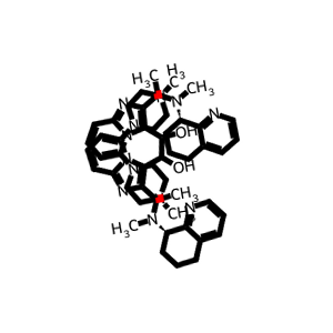 CC(c1nc2cccc(N3CCN(C)CC3)n2c1C(O)C(O)c1c(C(C)N(C)[C@H]2CCCc3cccnc32)nc2cccc(N3CCN(C)CC3)n12)N(C)[C@H]1CCCc2cccnc21